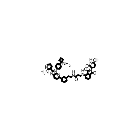 Nc1ncccc1-c1nc2ccc(-c3cccc(CCNC(=O)CCNc4cccc5c4C(=O)N(C4CCC(O)NC4=O)C5=O)c3)nc2n1-c1ccc(C2(N)CCC2)cc1